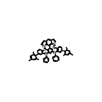 Cc1cc(C)c(-c2ccc3c(c2)N(c2ccccc2)c2cc4c5c6c2B3n2ccc3cc7ccn(c7c-6c32)B5c2ccc(-c3c(C)cc(C)cc3C)cc2N4c2ccccc2)c(C)c1